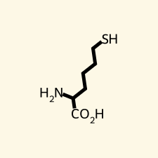 NC(CCCCS)C(=O)O